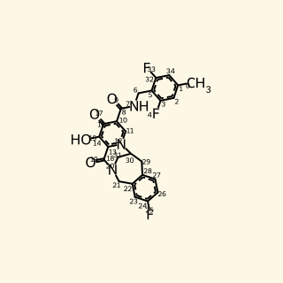 Cc1cc(F)c(CNC(=O)c2cn3c(c(O)c2=O)C(=O)N2Cc4cc(F)ccc4CC3C2)c(F)c1